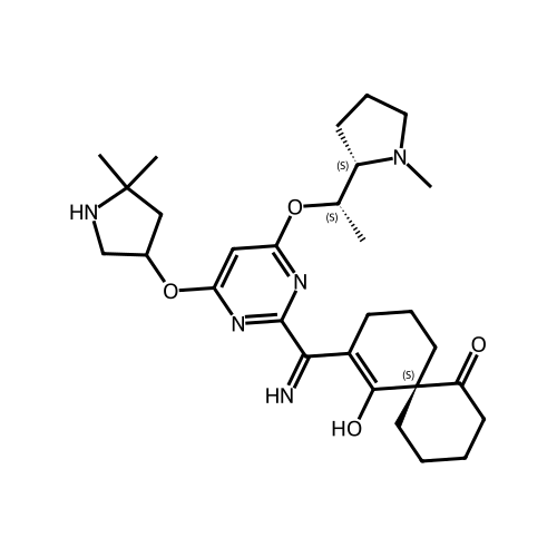 C[C@H](Oc1cc(OC2CNC(C)(C)C2)nc(C(=N)C2=C(O)[C@]3(CCCCC3=O)CCC2)n1)[C@@H]1CCCN1C